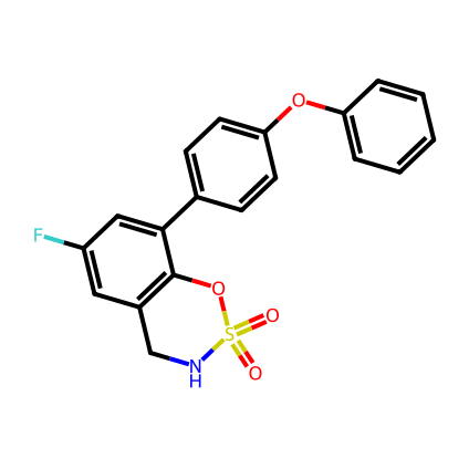 O=S1(=O)NCc2cc(F)cc(-c3ccc(Oc4ccccc4)cc3)c2O1